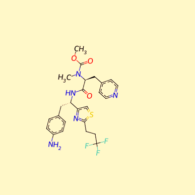 COC(=O)N(C)[C@@H](Cc1ccncc1)C(=O)N[C@@H](Cc1ccc(N)cc1)c1csc(CCC(F)(F)F)n1